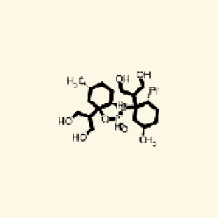 CC(C)[C@@H]1CC[C@@H](C)CC1(O[PH](=O)OC1(C(CO)CO)C[C@H](C)CC[C@H]1C(C)C)C(CO)CO